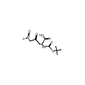 CC(C)(C)OC(=O)N[C@@H](CC(=O)C[N+](=O)[O-])C(=O)O